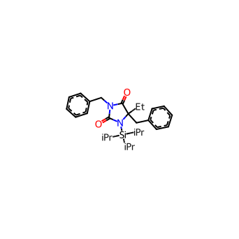 CCC1(Cc2ccccc2)C(=O)N(Cc2ccccc2)C(=O)N1[Si](C(C)C)(C(C)C)C(C)C